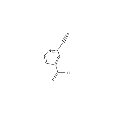 N#Cc1cc(C(=O)Cl)ccn1